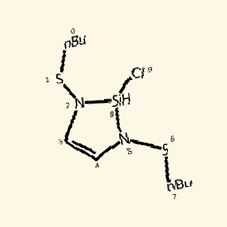 CCCCSN1C=CN(SCCCC)[SiH]1Cl